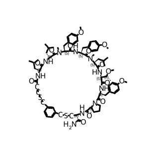 COc1ccc(C[C@@H]2NC(=O)[C@H](Cc3ccc(OC)cc3)N(C)C(=O)[C@@H](CC(C)C)NC(=O)[C@H](CC(C)C)NC(=O)CCSCc3cccc(c3)CSC[C@@H](C(N)=O)NC(=O)[C@]3(C)CCCN3C(=O)[C@H](Cc3ccc(OC)cc3)NC(=O)[C@H]([C@@H](C)OC)NC(=O)[C@H](CC(C)C)N(C)C2=O)cc1